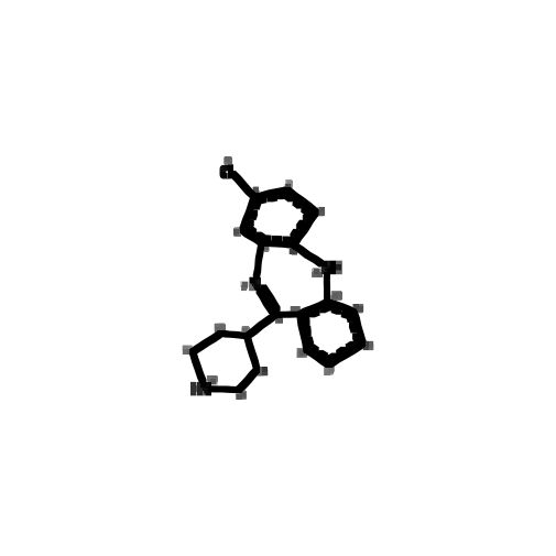 Clc1ccc2c(c1)N=C(C1CCNCC1)c1ccccc1N2